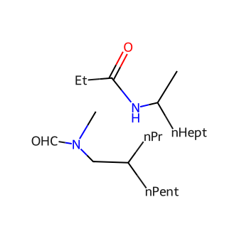 CCCCCC(CCC)CN(C)C=O.CCCCCCCC(C)NC(=O)CC